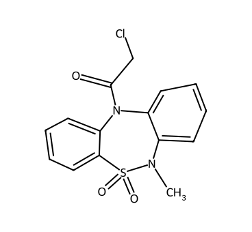 CN1c2ccccc2N(C(=O)CCl)c2ccccc2S1(=O)=O